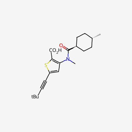 CN(c1cc(C#CC(C)(C)C)sc1C(=O)O)C(=O)[C@H]1CC[C@H](C)CC1